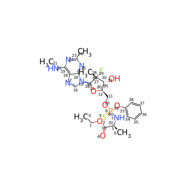 CCOC(=O)[C@H](C)N[P@@](=S)(OC[C@H]1O[C@@H](n2cnc3c(NC)nc(C)nc32)[C@](C)(F)[C@@H]1O)Oc1ccccc1